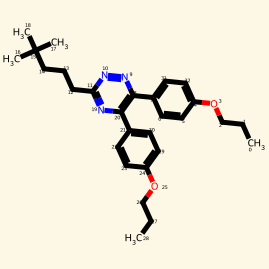 CCCOc1ccc(-c2nnc(CCCC(C)(C)C)nc2-c2ccc(OCCC)cc2)cc1